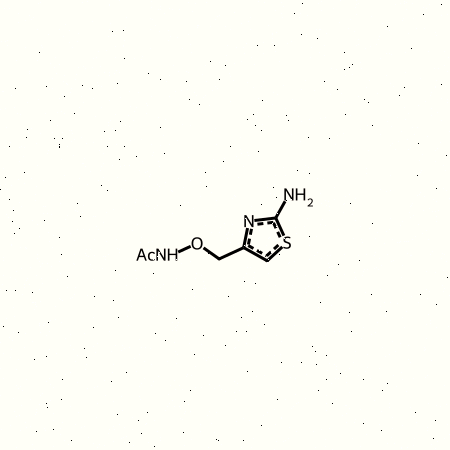 CC(=O)NOCc1csc(N)n1